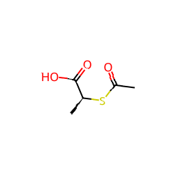 CC(=O)S[C@@H](C)C(=O)O